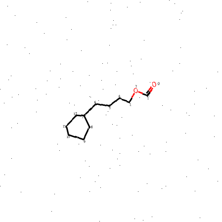 O=[C]OCCCCC1CCCCC1